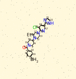 Bc1ccc(C(=O)N2CCC(N3CCN(c4ncc(-c5ncc[nH]5)cc4Cl)C[C@@H]3CC)CC2)cc1